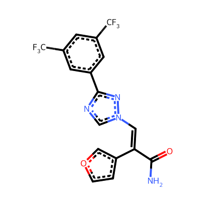 NC(=O)C(=Cn1cnc(-c2cc(C(F)(F)F)cc(C(F)(F)F)c2)n1)c1ccoc1